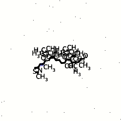 CCC[C@@H](C(=O)C(C)(C)C(C)CC=O)[C@@H](O[Si](C)(C)C(C)(C)C)C(C)CCCC(C)=CC[C@H](O[Si](C)(C)C(C)(C)C)/C(C)=C/c1csc(C)n1